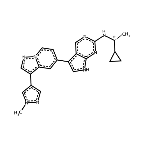 C[C@@H](Nc1ncc2c(-c3ccn4ncc(-c5cnn(C)c5)c4c3)c[nH]c2n1)C1CC1